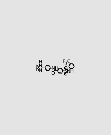 O=C(Nc1ccc(-c2nnn[nH]2)cc1)c1ccc(S(=O)(=O)Nc2cccc(C(F)(F)F)c2)cc1